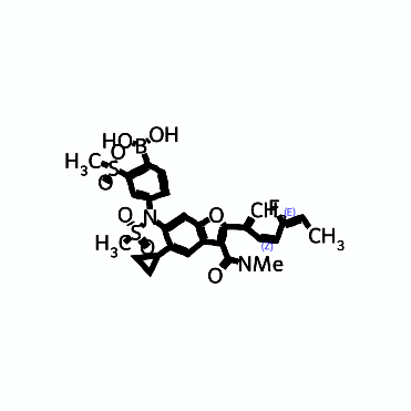 C=C(/C=C\C(F)=C/C)c1oc2cc(N(c3ccc(B(O)O)c(S(C)(=O)=O)c3)S(C)(=O)=O)c(C3CC3)cc2c1C(=O)NC